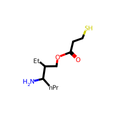 CCCC(N)C(CC)COC(=O)CCS